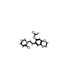 FC(F)Oc1cc2c(cc1CCN1CN=CC=C1Cl)OCCO2